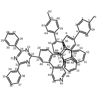 Cc1ccc(-c2ccc3c(c2)c2ccccc2n3-c2ccc(-c3nc(-c4ccccc4)nc(-c4ccccc4)n3)cc2-c2ccncc2-n2c3ccccc3c3cc(-c4ccc(C)cc4)ccc32)cc1